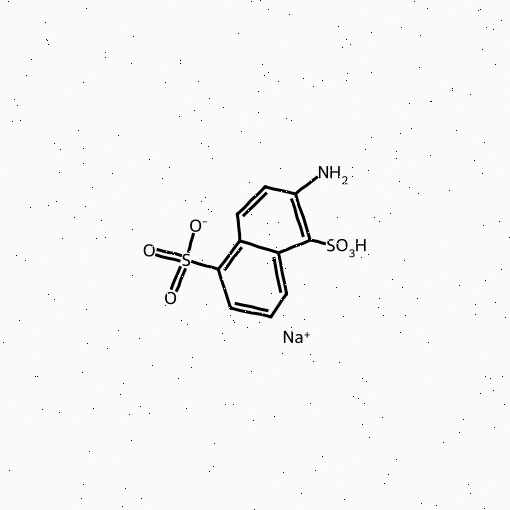 Nc1ccc2c(S(=O)(=O)[O-])cccc2c1S(=O)(=O)O.[Na+]